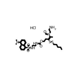 CCCCCSSC(CCOC(=O)NCCNS(=O)(=O)c1cccc2c(N(C)C)cccc12)=C(C)N(C=O)CCN.Cl